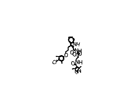 Cc1cc(OCCCc2c(C(=O)NS(=O)(=O)CCNC(=O)c3c(C)nn(C)c3C)[nH]c3ccccc23)cc(C)c1Cl